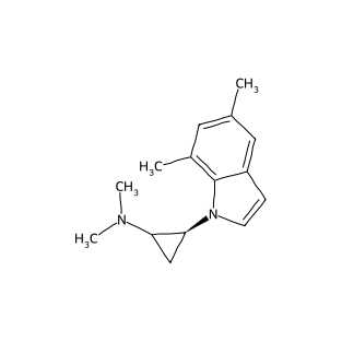 Cc1cc(C)c2c(ccn2[C@H]2CC2N(C)C)c1